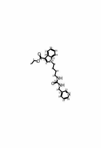 CCOC(=O)c1cn(CCCCNC(=O)NCc2cccnc2)c2ccccc12